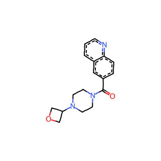 O=C(c1ccc2ncccc2c1)N1CCN(C2COC2)CC1